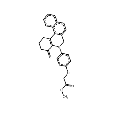 COC(=O)COc1ccc(N2Cc3ccc4ccccc4c3C3=C2C(=O)CCC3)cc1